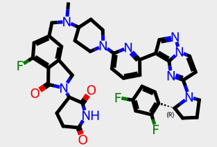 CN(Cc1cc(F)c2c(c1)CN(C1CCC(=O)NC1=O)C2=O)C1CCN(c2cccc(-c3cnn4ccc(N5CCC[C@@H]5c5ccc(F)cc5F)nc34)n2)CC1